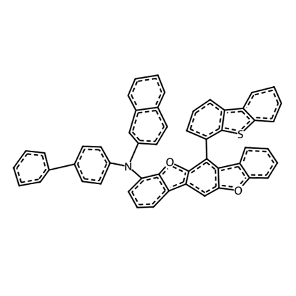 c1ccc(-c2ccc(N(c3ccc4ccccc4c3)c3cccc4c3oc3c(-c5cccc6c5sc5ccccc56)c5c(cc34)oc3ccccc35)cc2)cc1